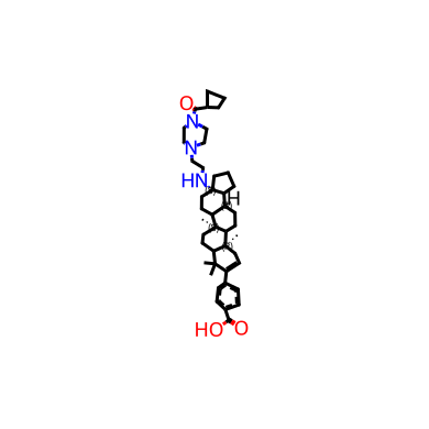 CC1(C)C(c2ccc(C(=O)O)cc2)=CC[C@@]2(C)C1CC[C@@]1(C)C3CC[C@@]4(NCCN5CCN(C(=O)C6CCC6)CC5)CCCC4[C@H]3CCC12